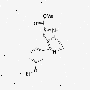 CCOc1cccc(-c2nccc3[nH]c(C(=O)OC)cc23)c1